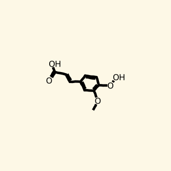 COc1cc(C=CC(=O)O)ccc1OO